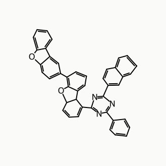 C1=CC2Oc3c(-c4ccc5oc6ccccc6c5c4)cccc3C2C(c2nc(-c3ccccc3)nc(-c3ccc4ccccc4c3)n2)=C1